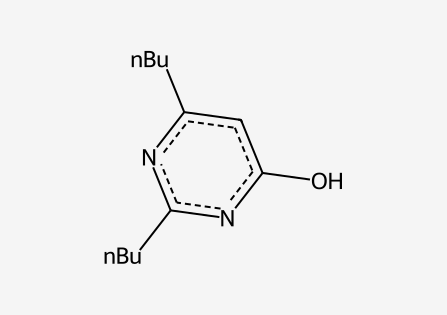 CCCCc1cc(O)nc(CCCC)n1